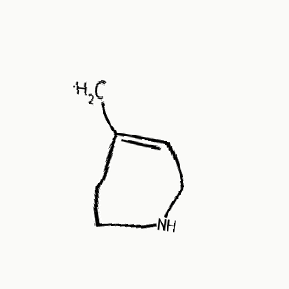 [CH2]C1=CCNCC1